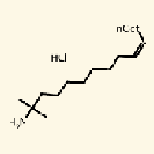 CCCCCCCC/C=C\CCCCCCCC(C)(C)N.Cl